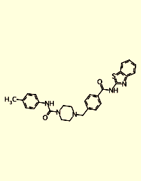 Cc1ccc(NC(=O)N2CCN(Cc3ccc(C(=O)Nc4nc5ccccc5s4)cc3)CC2)cc1